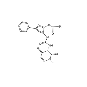 CCC(=O)Oc1sc(-c2ccccc2)cc1NC(=O)N[C@H]1C(=O)C=CN(C)C1=O